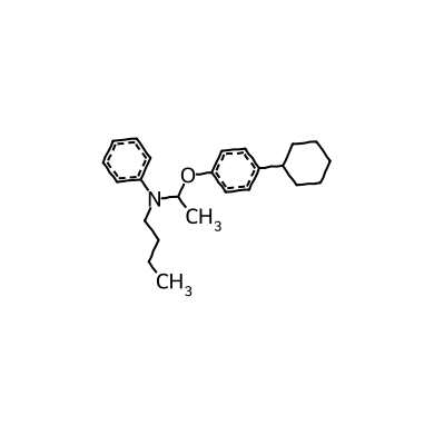 CCCCN(c1ccccc1)C(C)Oc1ccc(C2CCCCC2)cc1